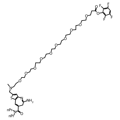 CCCN(CCC)C(=O)C1=Cc2sc(CN(C)CCOCCOCCOCCOCCOCCOCCOCCOCCOCCOCCC(=O)Oc3c(F)c(F)cc(F)c3F)cc2N=C(N)C1